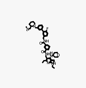 CCc1nc2c(cnn2CC)c(NC2CCOCC2)c1CNC(=O)c1cccc(C(=O)NCc2ccc(F)c(-c3cccc(CN4CCCCC4CN(C)C)c3)c2)c1